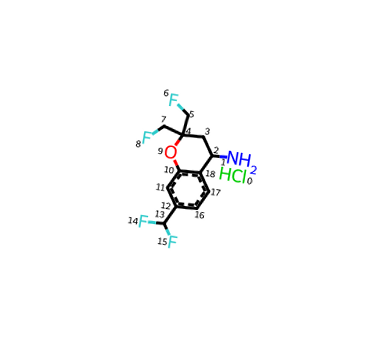 Cl.NC1CC(CF)(CF)Oc2cc(C(F)F)ccc21